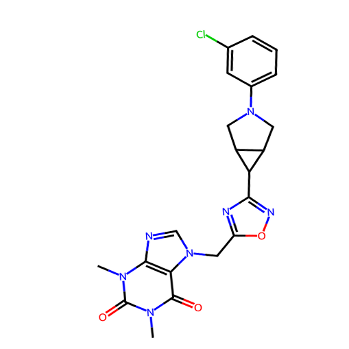 Cn1c(=O)c2c(ncn2Cc2nc(C3C4CN(c5cccc(Cl)c5)CC43)no2)n(C)c1=O